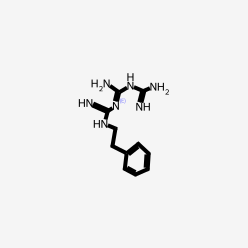 N=C(N)N/C(N)=N/C(=N)NCCc1ccccc1